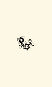 O=C(O)C1CCCN(C(=O)c2cccnc2)C1